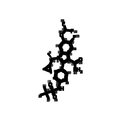 C[C@@H](C1CC1)n1c(-c2ccc(NS(=O)(=O)C(C)(C)C)nc2)c(C(N)=O)c2cc(F)c(OC(F)F)cc21